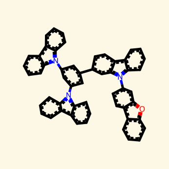 c1ccc2c(c1)oc1cc(-n3c4ccccc4c4ccc(-c5cc(-n6c7ccccc7c7ccccc76)cc(-n6c7ccccc7c7ccccc76)c5)cc43)ccc12